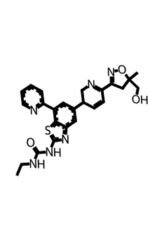 CCNC(=O)Nc1nc2cc(C3C=CC(C4=NOC(C)(CO)C4)=NC3)cc(-c3ccccn3)c2s1